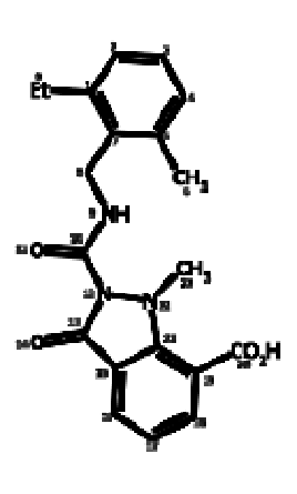 CCc1cccc(C)c1CNC(=O)n1c(=O)c2cccc(C(=O)O)c2n1C